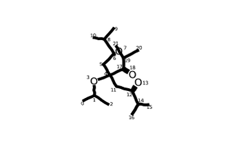 CC(C)OC(CC(=O)C(C)C)(CC(=O)C(C)C)C(=O)C(C)C